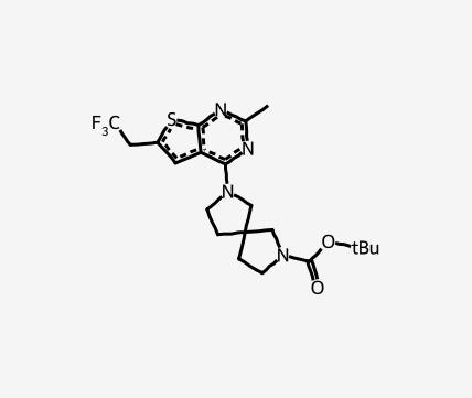 Cc1nc(N2CCC3(CCN(C(=O)OC(C)(C)C)C3)C2)c2cc(CC(F)(F)F)sc2n1